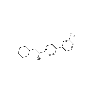 OC(CC1CCCCC1)c1ccc(-c2cccc(C(F)(F)F)c2)cc1